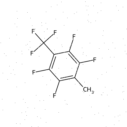 Cc1c(F)c(F)c(C(F)(F)F)c(F)c1F